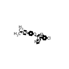 C=C(C)N1CCN(c2ccc(OC[C@H]3CO[C@](Cn4ccnc4)(c4ccc(Cl)cc4Cl)O3)cc2)CC1